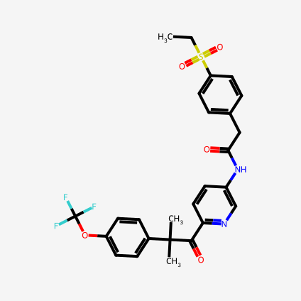 CCS(=O)(=O)c1ccc(CC(=O)Nc2ccc(C(=O)C(C)(C)c3ccc(OC(F)(F)F)cc3)nc2)cc1